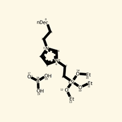 CCCCCCCCCCCCn1cc[n+](CC[Si](OCC)(OCC)OCC)c1.[O-]B(O)O